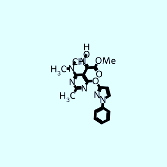 COC(=O)C(=NO)c1c(Oc2ccn(-c3ccccc3)n2)nc(C)nc1N(C)C